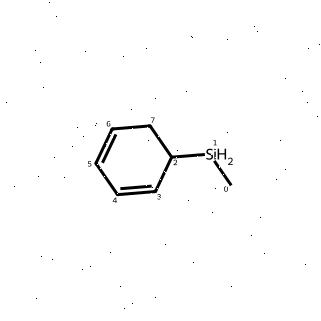 C[SiH2]C1C=CC=CC1